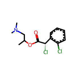 CC(CN(C)C)OC(=O)[C@@H](Cl)c1ccccc1Cl